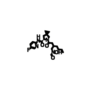 CCCCC(CC(=O)N1CC2(CC2)C[C@H]1C(=O)Nc1ccc(F)cn1)CN(O)C=O